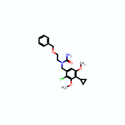 COc1cc(CN(CCOCc2ccccc2)C(N)=O)c(Cl)c(OC)c1C1CC1